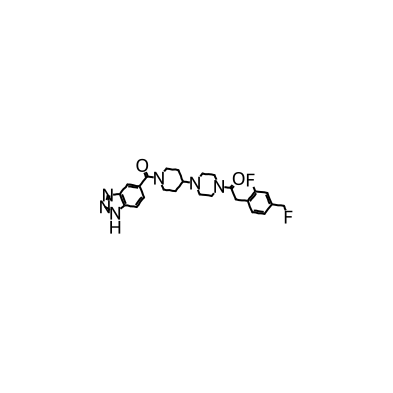 O=C(Cc1ccc(CF)cc1F)N1CCN(C2CCN(C(=O)c3ccc4[nH]nnc4c3)CC2)CC1